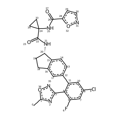 Cc1nc(-c2c(F)cc(Cl)cc2-c2ccc3c(c2)CC[C@@H]3NC(=O)C2(NC(=O)c3ccno3)CC2)no1